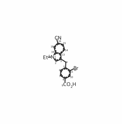 CCn1cc(Cc2ccc(C(=O)O)cc2Br)c2ccc(C#N)cc21